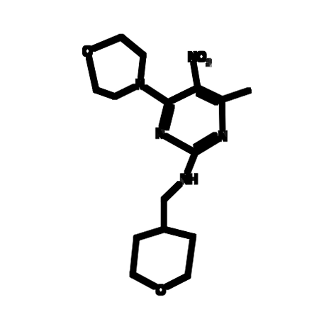 Cc1nc(NCC2CCOCC2)nc(N2CCOCC2)c1[N+](=O)[O-]